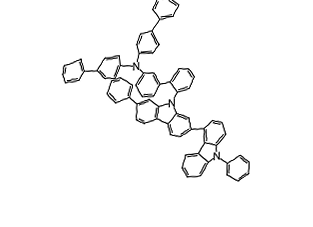 c1ccc(-c2ccc(N(c3ccc(-c4ccccc4)cc3)c3cccc(-c4ccccc4-n4c5cc(-c6ccccc6)ccc5c5ccc(-c6cccc7c6c6ccccc6n7-c6ccccc6)cc54)c3)cc2)cc1